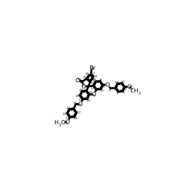 COc1ccc(COc2ccc3c(c2)Oc2cc(OCc4ccc(OC)cc4)ccc2C32OC(=O)c3cc(Br)ccc32)cc1